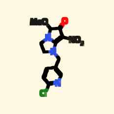 COC1C(=O)C([N+](=O)[O-])=C2N(Cc3ccc(Cl)nc3)CCN21